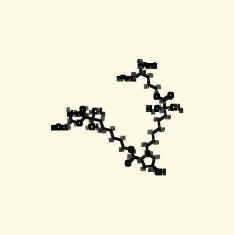 CCCCCCCCC(CCCCCC)OC(=O)C(C)(C)CCCCCCOC(=O)[C@@H]1C[C@H](O)CN1CCCCCCC(C)(C)C(=O)OCCCC(CCCCC)CCCCC